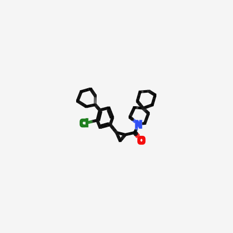 O=C(C1CC1c1ccc(C2CCCCC2)c(Cl)c1)N1CCC2(CCCCC2)CC1